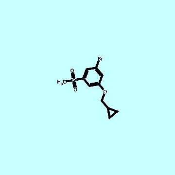 CS(=O)(=O)c1cc(Br)cc(OCC2CC2)c1